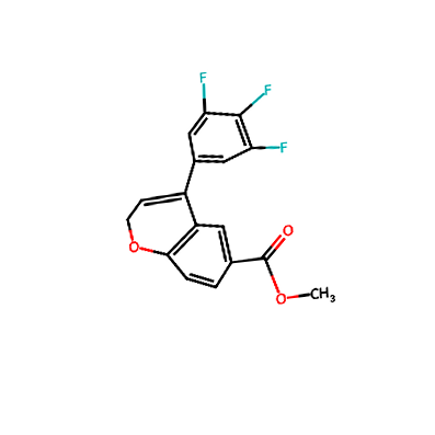 COC(=O)c1ccc2c(c1)C(c1cc(F)c(F)c(F)c1)=CCO2